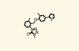 Cc1cc(-c2cccs2)ccc1OCc1c(C)cccc1-n1nnn(C)c1=O